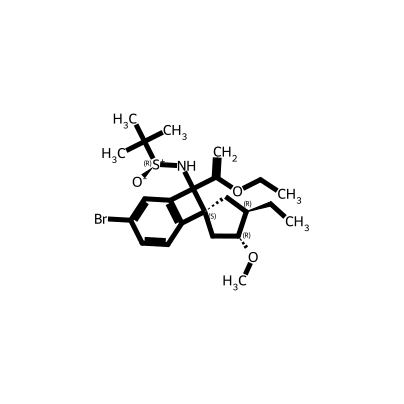 C=C(OCC)C1(N[S@@+]([O-])C(C)(C)C)c2cc(Br)ccc2[C@@]12C[C@@H](CC)[C@H](OC)C2